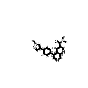 CN(C)C(=O)c1cnc2cncc(-c3ccc(-c4cnn(C)c4)cc3)c2c1